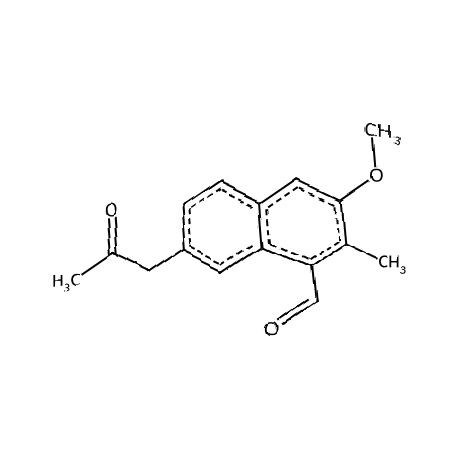 COc1cc2ccc(CC(C)=O)cc2c(C=O)c1C